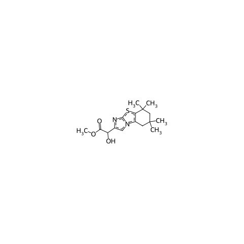 COC(=O)C(O)c1cn2c3c(sc2n1)C(C)(C)CC(C)(C)C3